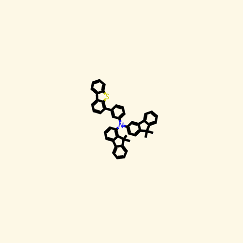 CC1(C)c2ccccc2-c2cc(N(c3cccc(-c4cccc5c4sc4ccccc45)c3)c3cccc4c3C(C)(C)c3ccccc3-4)ccc21